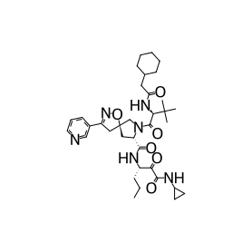 CCC[C@H](NC(=O)[C@@H]1C[C@]2(CC(c3cccnc3)=NO2)CN1C(=O)[C@@H](NC(=O)CC1CCCCC1)C(C)(C)C)C(=O)C(=O)NC1CC1